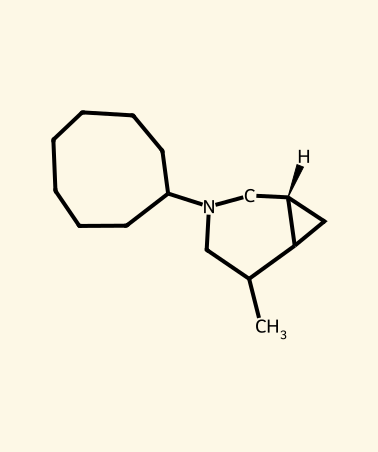 CC1CN(C2CCCCCCC2)C[C@@H]2CC12